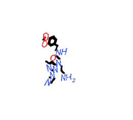 Cc1cc(N(CCCN)CC(=O)NCCc2ccc3c(c2)OCO3)nc(-n2ccnc2)n1